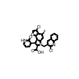 O=C(O)c1c(-c2ccc[nH]c2=O)c2c3occ(Cl)c3c(F)cc2n1Cc1cc2ccccc2nc1Cl